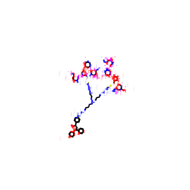 NCC1O[C@H](O[C@@H]2C(N)C[C@@H](N)C(O)C2OC2OC(CSCCNC(=S)NCCCN(CCCCCNC(=S)Nc3ccc(C4CC5(OC4=O)c4ccc(O)cc4Oc4cc(O)ccc45)cc3)CCCCNC(=S)NCCSCC3OC(OC4C(O)[C@H](N)CC(N)[C@H]4O[C@H]4OC(CN)[C@@H](O)C(O)C4N)C(O)C3O[C@H]3OC(CN)[C@@H](O)C(CO)C3N)C(O[C@H]3OC(CN)[C@@H](O)C(O)C3N)C2O)C(N)C(O)[C@@H]1O